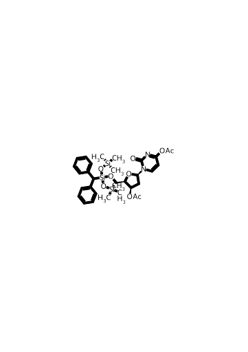 CC(=O)Oc1ccn([C@H]2C[C@@H](OC(C)=O)[C@@H](CO[Si](O[Si](C)(C)C)(O[Si](C)(C)C)C(c3ccccc3)c3ccccc3)O2)c(=O)n1